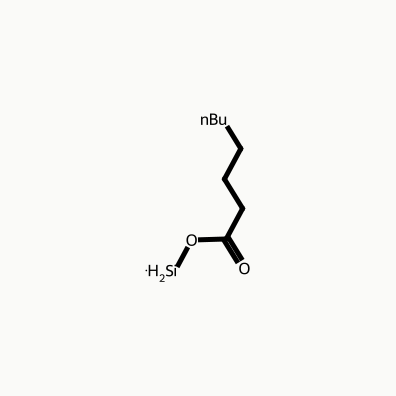 CCCCCCCC(=O)O[SiH2]